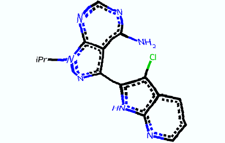 CC(C)n1nc(-c2[nH]c3ncccc3c2Cl)c2c(N)ncnc21